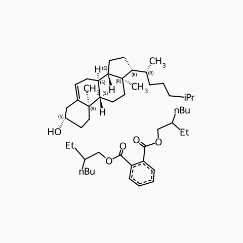 CC(C)CCC[C@@H](C)[C@H]1CC[C@H]2[C@@H]3CC=C4C[C@@H](O)CC[C@]4(C)[C@H]3CC[C@]12C.CCCCC(CC)COC(=O)c1ccccc1C(=O)OCC(CC)CCCC